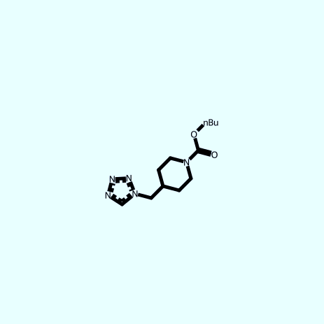 CCCCOC(=O)N1CCC(Cn2cnnn2)CC1